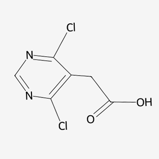 O=C(O)Cc1c(Cl)ncnc1Cl